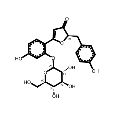 O=C1C=C(c2ccc(O)cc2O[C@@H]2O[C@H](CO)[C@@H](O)[C@H](O)[C@H]2O)O[C@@H]1Cc1ccc(O)cc1